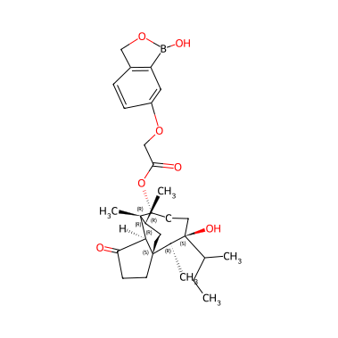 CCC(C)[C@@]1(O)CC[C@@H](OC(=O)COc2ccc3c(c2)B(O)OC3)[C@]2(C)[C@H](C)CC[C@]3(CCC(=O)[C@H]32)[C@H]1C